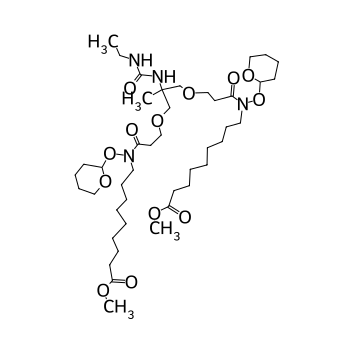 CCNC(=O)NC(C)(COCCC(=O)N(CCCCCCCCC(=O)OC)OC1CCCCO1)COCCC(=O)N(CCCCCCCCC(=O)OC)OC1CCCCO1